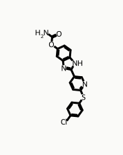 NC(=O)Oc1ccc2[nH]c(-c3ccc(Sc4ccc(Cl)cc4)nc3)nc2c1